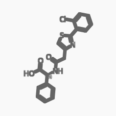 O=C(Cc1csc(-c2ccccc2Cl)n1)N[C@H](C(=O)O)c1ccccc1